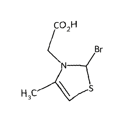 CC1=CSC(Br)N1CC(=O)O